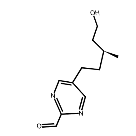 C[C@H](CCO)CCc1cnc(C=O)nc1